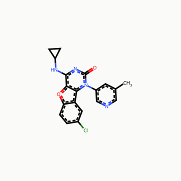 Cc1cncc(-n2c(=O)nc(NC3CC3)c3oc4ccc(Cl)cc4c32)c1